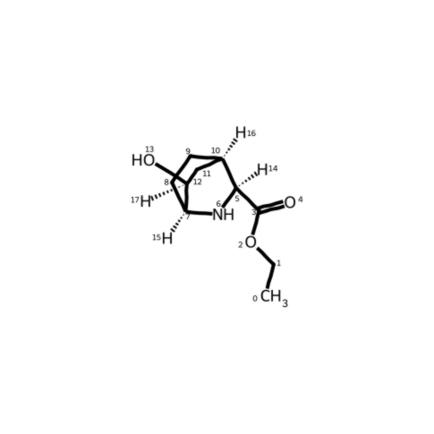 CCOC(=O)[C@H]1N[C@H]2CC[C@@H]1C[C@@H]2O